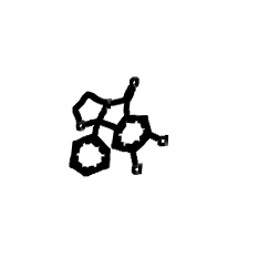 O=C1c2cc(Cl)c(Cl)cc2C2(c3ccccc3)OCCN12